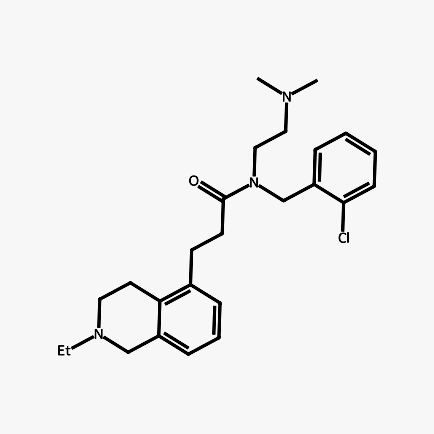 CCN1CCc2c(CCC(=O)N(CCN(C)C)Cc3ccccc3Cl)cccc2C1